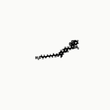 CCCCCCCCCCCCOc1ccc(-c2ccc(CCC(CC)C[C@@](F)(C(=O)O)C3CCCCC3)cc2)cc1F